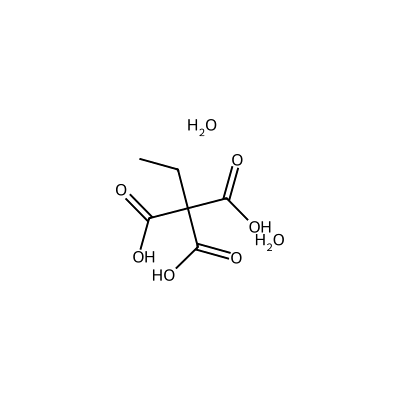 CCC(C(=O)O)(C(=O)O)C(=O)O.O.O